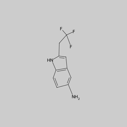 Nc1ccc2[nH]c(CC(F)(F)F)cc2c1